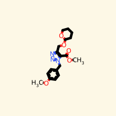 COC(=O)c1c(COC2CCCCO2)nnn1Cc1ccc(OC)cc1